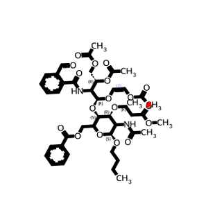 CCCCO[C@H]1OC(COC(=O)c2ccccc2)[C@@H](O[C@H](O/C=C\OC(C)=O)C(NC(=O)c2ccccc2C=O)[C@H](COC(C)=O)OC(C)=O)[C@H](O[C@H](C)CC(=O)OC)C1NC(C)=O